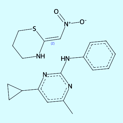 Cc1cc(C2CC2)nc(Nc2ccccc2)n1.O=[N+]([O-])/C=C1/NCCCS1